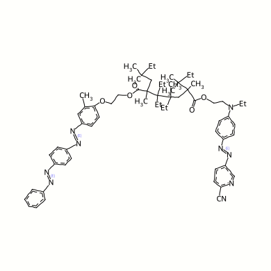 CCN(CCOC(=O)C(C)(CC(C)(CC)C(CC)(CC)C(C)(CC(C)(C)CC)C(=O)OCCOc1ccc(/N=N/c2ccc(/N=N/c3ccccc3)cc2)cc1C)C(C)(C)CC)c1ccc(/N=N/c2ccc(C#N)nc2)cc1